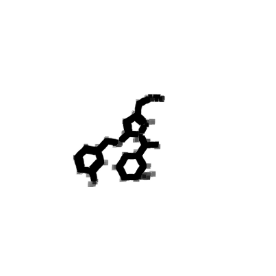 CNCc1cc(OCc2cccc(F)c2)n(C(C)C2CCCCC2)n1.Cl